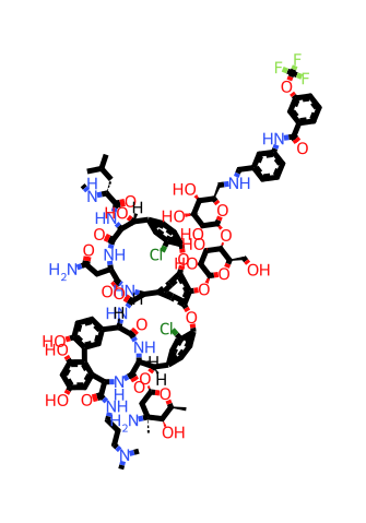 CN[C@H](CC(C)C)C(=O)NC1C(=O)NC(CC(N)=O)C(=O)N[C@H]2C(=O)N[C@H]3C(=O)N[C@H](C(=O)NC(C(=O)NCCCN(C)C)c4cc(O)cc(O)c4-c4cc3ccc4O)[C@H](O[C@H]3C[C@](C)(N)[C@@H](O)[C@H](C)O3)c3ccc(c(Cl)c3)Oc3cc2cc(c3O[C@@H]2O[C@H](CO)[C@@H](O[C@@H]3O[C@H](CNCc4cccc(NC(=O)c5cccc(OC(F)(F)F)c5)c4)[C@H](O)[C@H](O)[C@H]3O)[C@H](O)[C@H]2O)Oc2ccc(cc2Cl)[C@H]1O